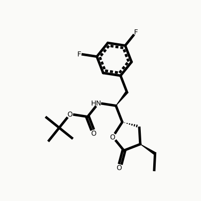 CC[C@@H]1C[C@@H]([C@H](Cc2cc(F)cc(F)c2)NC(=O)OC(C)(C)C)OC1=O